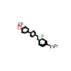 CCCc1ccc(CCc2ccc(-c3ccc(OC(F)(F)F)cc3)cc2)c(F)c1